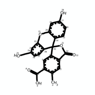 Cc1cc2c(cc1C(=O)O)C1(OC2=O)c2ccc(O)cc2Oc2cc(O)ccc21